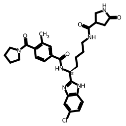 Cc1cc(C(=O)N[C@@H](CCCCNC(=O)C2CNC(=O)C2)c2nc3cc(Cl)ccc3[nH]2)ccc1C(=O)N1CCCC1